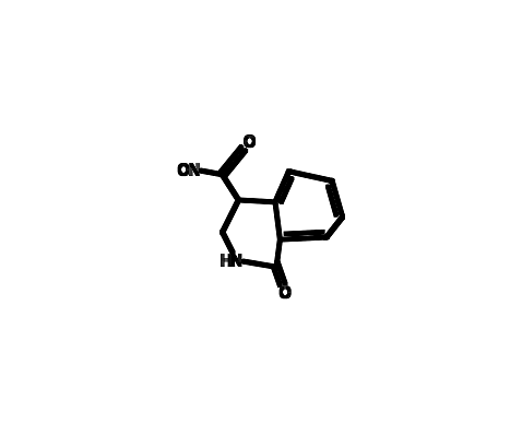 O=NC(=O)C1CNC(=O)c2ccccc21